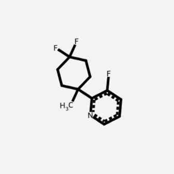 CC1(c2ncccc2F)CCC(F)(F)CC1